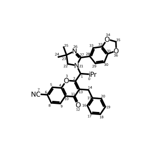 CC(C)C(c1oc2cc(C#N)ccc2c(=O)c1Cc1ccccc1)N1CC(C)(C)N=C1c1ccc2c(c1)OCO2